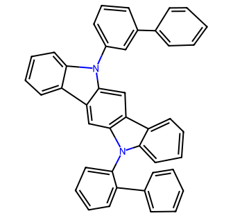 c1ccc(-c2cccc(-n3c4ccccc4c4cc5c(cc43)c3ccccc3n5-c3ccccc3-c3ccccc3)c2)cc1